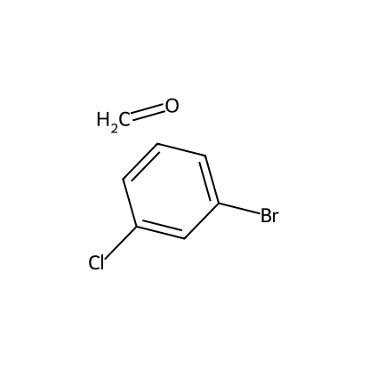 C=O.Clc1cccc(Br)c1